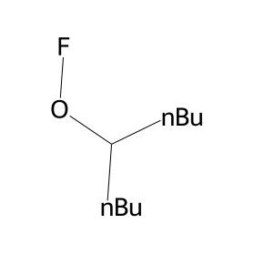 CCCCC(CCCC)OF